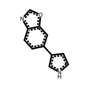 c1cc(-c2ccc3ncoc3c2)c[nH]1